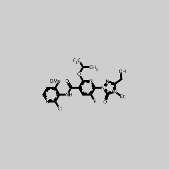 CCn1c(CO)nn(-c2nc(OC(C)C(F)(F)F)c(C(=O)Nc3c(OC)ccnc3Cl)cc2F)c1=O